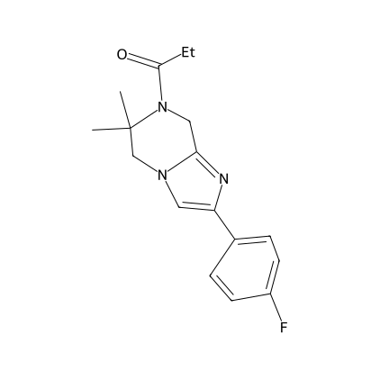 CCC(=O)N1Cc2nc(-c3ccc(F)cc3)cn2CC1(C)C